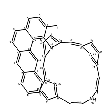 Cc1ccc2ccc3cc4ccccc4cc3c2c1-n1c2ccc1cc1nc(cc3ccc(cc4nc(c2)C=C4)[nH]3)C=C1